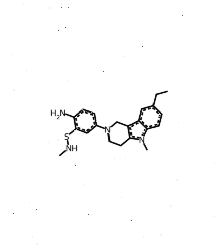 CCc1ccc2c(c1)c1c(n2C)CCN(c2ccc(N)c(SNC)c2)C1